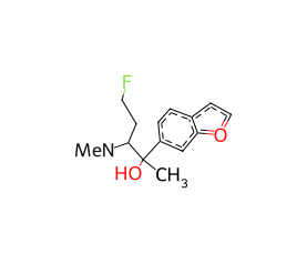 CNC(CCF)C(C)(O)c1ccc2ccoc2c1